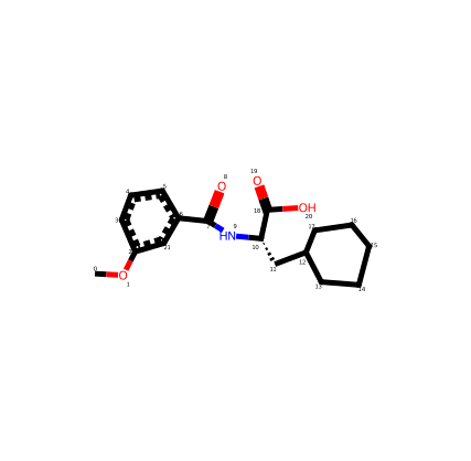 COc1cccc(C(=O)N[C@@H](CC2CCCCC2)C(=O)O)c1